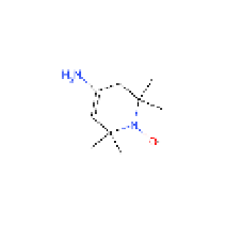 CC1(C)C=C(N)CC(C)(C)N1[O]